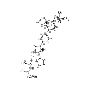 COC(=O)N[C@H](C(=O)N1CCC[C@H]1c1ncc(-c2ccc(-c3ccc(OS(=O)(=O)C(F)(F)F)c4c3C3C=CC4N3C)cc2)[nH]1)C(C)C